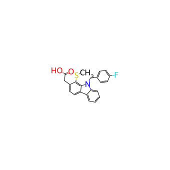 CSc1c(CC(=O)O)ccc2c3ccccc3n(Cc3ccc(F)cc3)c12